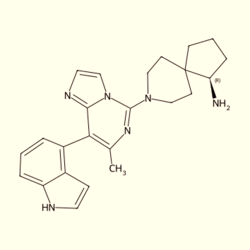 Cc1nc(N2CCC3(CCC[C@H]3N)CC2)n2ccnc2c1-c1cccc2[nH]ccc12